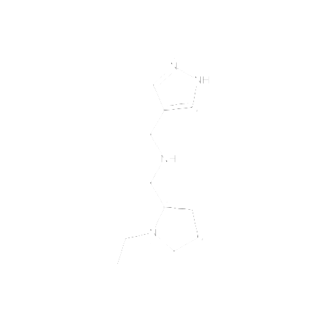 CCN1CCCC1CNCc1cn[nH]c1